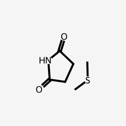 CSC.O=C1CCC(=O)N1